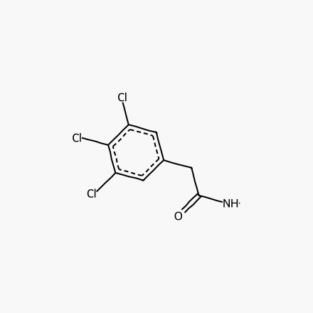 [NH]C(=O)Cc1cc(Cl)c(Cl)c(Cl)c1